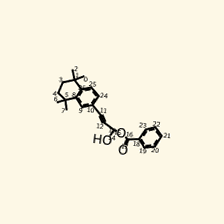 CC1(C)CCC(C)(C)c2cc(C#CC(O)OC(=O)c3ccccc3)ccc21